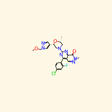 COCn1cc([C@H]2CN(c3nc(-c4ccc(Cl)cc4F)c4cnn(C)c(=O)c4n3)C[C@@H](C)O2)cn1